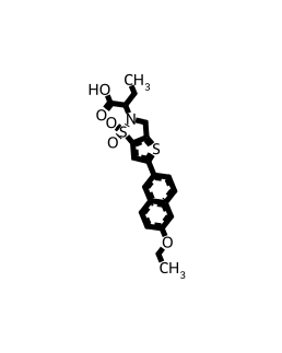 CCOc1ccc2cc(-c3cc4c(s3)CN(C(CC)C(=O)O)S4(=O)=O)ccc2c1